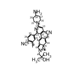 CC(C)(O)Cn1cc2cc(-c3c(C#N)cc(N4CCC(N)CC4)nc3-c3ccc(C#N)c(F)c3)c(F)cc2n1